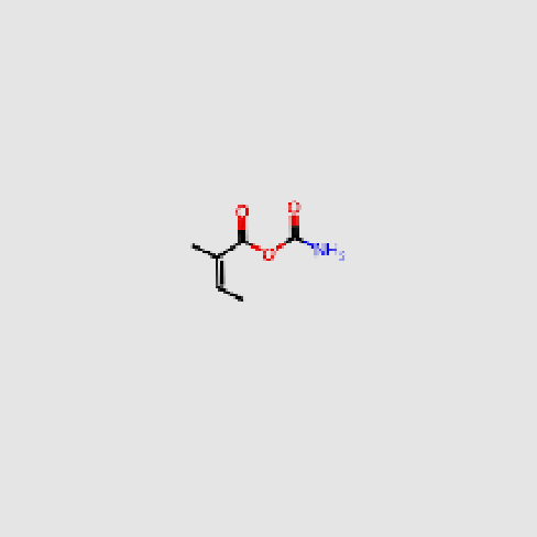 CC=C(C)C(=O)OC(N)=O